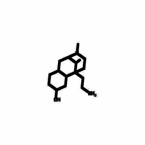 CC1C2CC3CCC(O)CC3C1(CCN)CCN2C